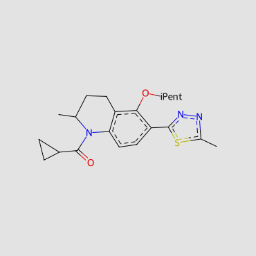 CCCC(C)Oc1c(-c2nnc(C)s2)ccc2c1CCC(C)N2C(=O)C1CC1